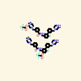 C[C@H]1CN(Cc2cccc(-c3cc(CNC(=O)c4cccc(CN5CC[N+](C)(C)CC5)c4)ccc3F)c2)CCN1.C[C@H]1CN(Cc2cccc(-c3cc(CNC(=O)c4cccc(CN5CC[N+](C)(C)CC5)c4)ccc3F)c2)CCN1.O=C([O-])C(F)(F)F.O=C([O-])C(F)(F)F